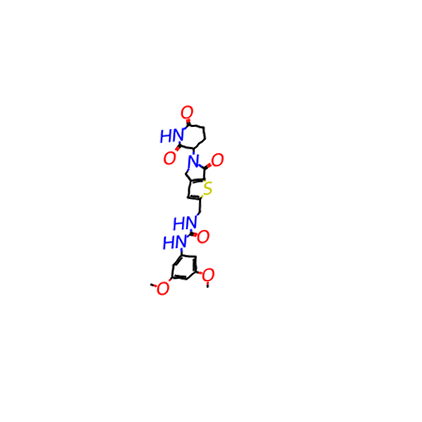 COc1cc(NC(=O)NCc2cc3c(s2)C(=O)N(C2CCC(=O)NC2=O)C3)cc(OC)c1